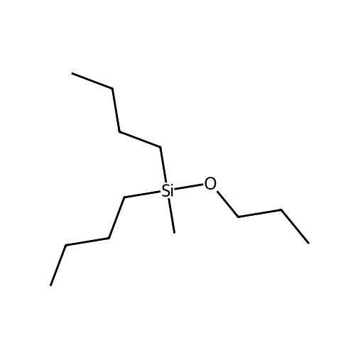 CCCC[Si](C)(CCCC)OCCC